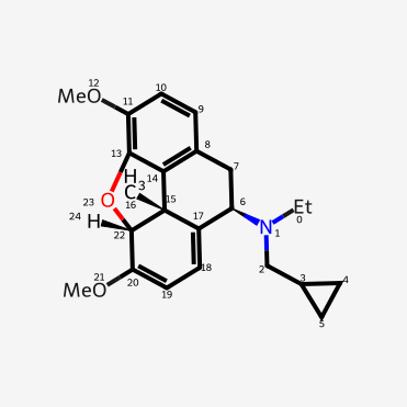 CCN(CC1CC1)[C@@H]1Cc2ccc(OC)c3c2[C@]2(C)C1=CC=C(OC)[C@@H]2O3